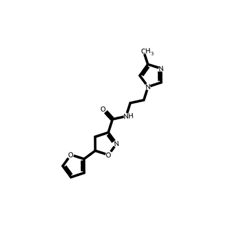 Cc1cn(CCNC(=O)C2=NOC(c3ccco3)C2)cn1